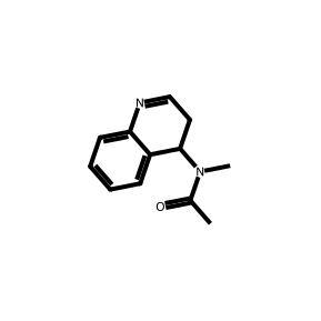 CC(=O)N(C)C1CC=Nc2ccccc21